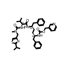 CC(C)c1nc(CN(C)C(=O)N[C@H](C(=O)N[C@H](CC[C@H](Cc2ccccc2)NC(=O)OCc2cccnc2)Cc2ccccc2)C(C)C)cs1